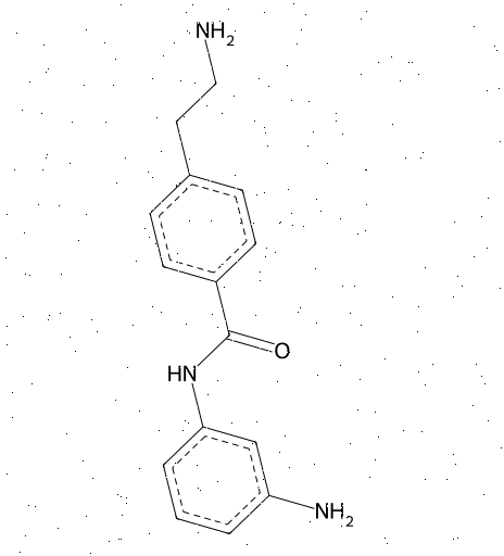 NCCc1ccc(C(=O)Nc2cccc(N)c2)cc1